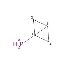 PC12CC1C2